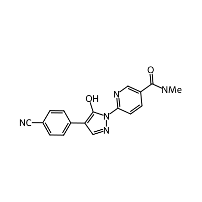 CNC(=O)c1ccc(-n2ncc(-c3ccc(C#N)cc3)c2O)nc1